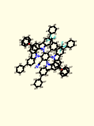 N#Cc1c(-n2c3ccc(-c4ccccc4)cc3c3cc(-c4ccccc4)ccc32)c(-n2c3ccc(-c4ccccc4)cc3c3cc(-c4ccccc4)ccc32)c(-c2cc(C(F)(F)F)cc(C(F)(F)F)c2)c(-n2c3ccc(-c4ccccc4)cc3c3cc(-c4ccccc4)ccc32)c1-n1c2ccc(-c3ccccc3)cc2c2cc(-c3ccccc3)ccc21